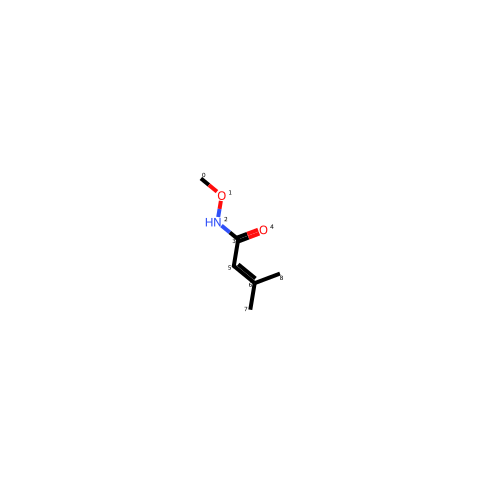 CONC(=O)C=C(C)C